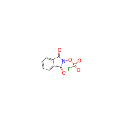 O=C1c2ccccc2C(=O)N1OS(=O)(=O)F